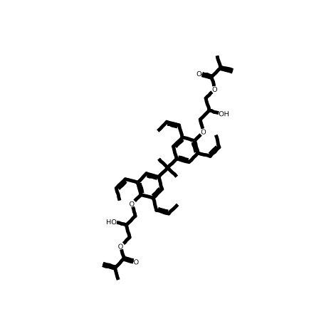 C=C(C)C(=O)OCC(O)COc1c(/C=C\C)cc(C(C)(C)c2cc(/C=C\C)c(OCC(O)COC(=O)C(=C)C)c(/C=C\C)c2)cc1/C=C\C